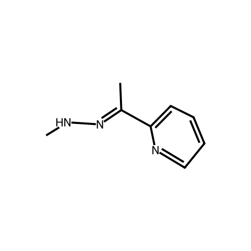 CNN=C(C)c1ccccn1